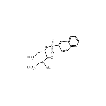 CCCCN(CC(=O)OCC)C(=O)[C@H](CC(=O)O)NS(=O)(=O)c1ccc2ccccc2c1